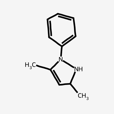 CC1=CC(C)NN1c1ccccc1